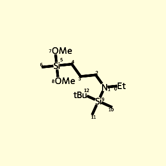 CCN(CCC[Si](C)(OC)OC)[Si](C)(C)C(C)(C)C